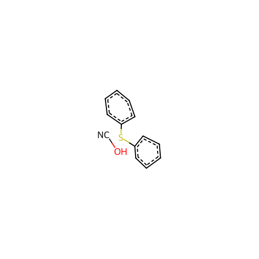 N#CO.c1ccc(Sc2ccccc2)cc1